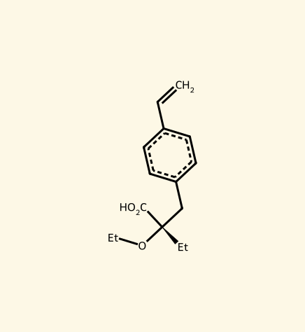 C=Cc1ccc(C[C@](CC)(OCC)C(=O)O)cc1